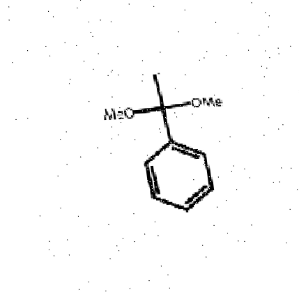 [CH2]C(OC)(OC)c1ccccc1